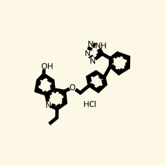 CCc1cc(OCc2ccc(-c3ccccc3-c3nnn[nH]3)cc2)c2cc(O)ccc2n1.Cl